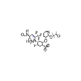 CC(=O)C(C)(C)Oc1ncccc1Oc1cc(N(N)/C(=C\C(=O)NC=O)C(F)(F)F)c(F)cc1[N+](=O)[O-]